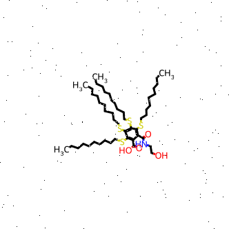 CCCCCCCCCCSc1c(SCCCCCCCCCC)c(SCCCCCCCCCC)c(C(=O)NCCO)c(C(=O)O)c1SCCCCCCCCCC